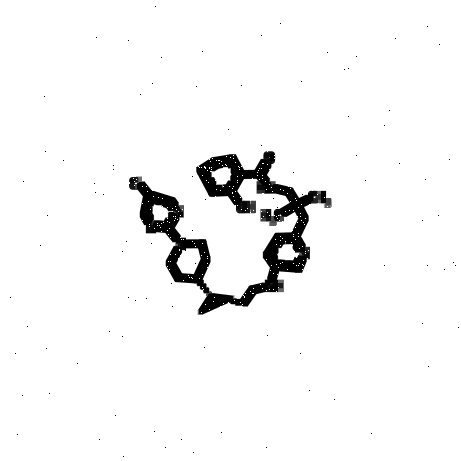 CC(C)(CNC(=O)c1ccccc1O)Cc1ccc(NCC[C@@H]2C[C@@H]2C2CCN(c3ncc(Cl)cn3)CC2)cn1